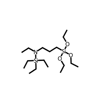 CCO[Si](CCCN(CC)[Si](CC)(CC)CC)(OCC)OCC